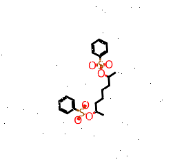 CC(CCCCC(C)OS(=O)(=O)c1ccccc1)OS(=O)(=O)c1ccccc1